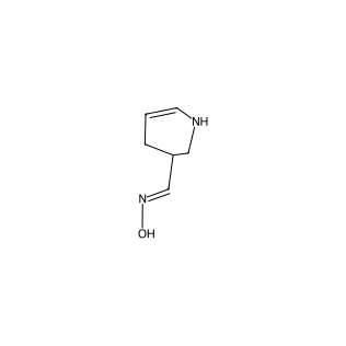 ON=CC1CC=CNC1